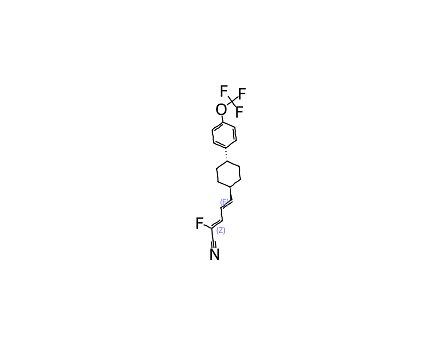 N#C/C(F)=C/C=C/[C@H]1CC[C@H](c2ccc(OC(F)(F)F)cc2)CC1